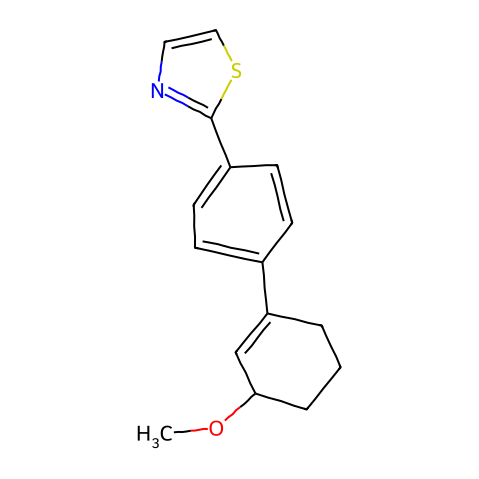 COC1C=C(c2ccc(-c3nccs3)cc2)CCC1